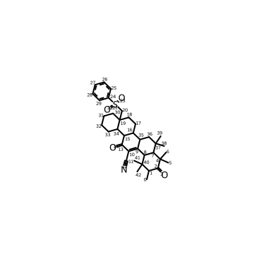 CC1C(=O)C(C)(C)C2C(C3=C(C#N)C(=O)C4C(CCC5(CS(=O)(=O)c6ccccc6)CCCCC45)C3CC2(C)C)C1(C)C